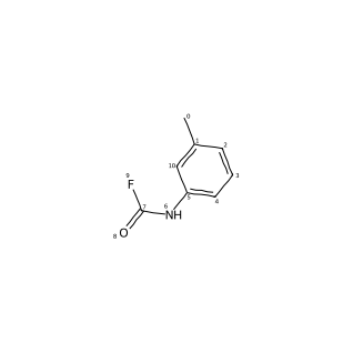 Cc1cccc(NC(=O)F)c1